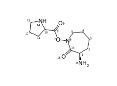 N[C@@H]1CCCCN(OC(=O)C2CCCN2)C1=O